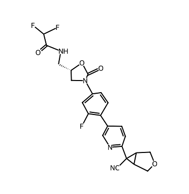 N#CC1(c2ccc(-c3ccc(N4C[C@H](CNC(=O)C(F)F)OC4=O)cc3F)cn2)C2COCC21